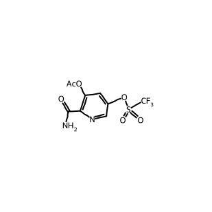 CC(=O)Oc1cc(OS(=O)(=O)C(F)(F)F)cnc1C(N)=O